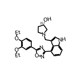 CCOc1ccc(-c2nc(-c3cccc4[nH]cc(CN5CC[C@H](O)C5)c34)no2)cc1OCC